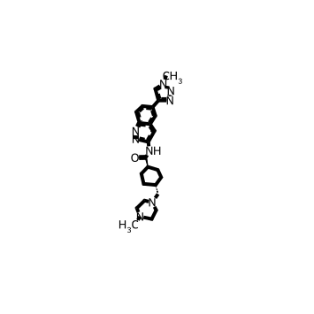 CN1CCN(C[C@H]2CC[C@H](C(=O)Nc3cc4cc(-c5cn(C)nn5)ccc4nn3)CC2)CC1